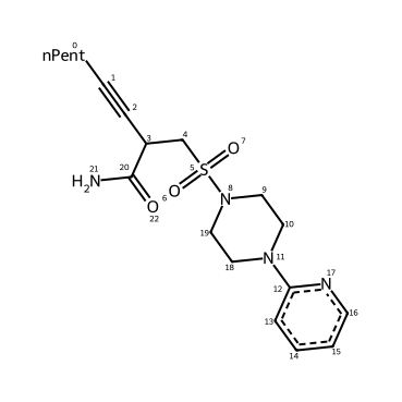 CCCCCC#CC(CS(=O)(=O)N1CCN(c2ccccn2)CC1)C(N)=O